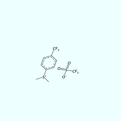 C[S+](C)c1ccc(C(F)(F)F)cc1.O=S(=O)([O-])C(F)(F)F